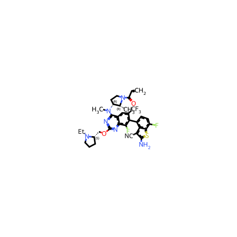 C=CC(=O)N1CC[C@@H](N(C)c2nc(OC[C@@H]3CCCN3CC)nc3c(F)c(-c4ccc(F)c5sc(N)c(C#N)c45)c(C(F)(F)F)cc23)[C@H]1C